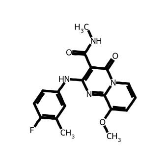 CNC(=O)c1c(Nc2ccc(F)c(C)c2)nc2c(OC)cccn2c1=O